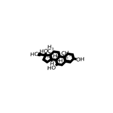 C#CC1(O)CC[C@H]2[C@@H]3C(O)CC4=CC(O)CC[C@]4(C)[C@@H]3CC[C@@]21C